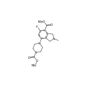 COC(=O)c1c(F)cc(N2CCN(C(=O)OC(C)(C)C)CC2)c2c1CN(C)C2